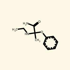 CCNC(C)(Oc1ccccc1)C(N)=O